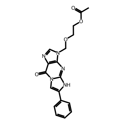 CC(=O)OCCOCn1cnc2c(=O)n3cc(-c4ccccc4)[nH]c3nc21